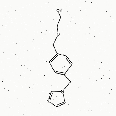 OCCOCc1ccc(Cn2ccnc2)cc1